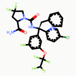 NC(=O)C1CC(F)(F)CN1C(=O)N[C@@](Cc1ccccc1)(c1cc(F)cc(OC(F)(F)C(F)F)c1)c1ccc(Cl)cn1